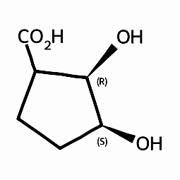 O=C(O)C1CC[C@H](O)[C@@H]1O